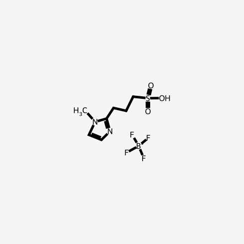 Cn1ccnc1CCCS(=O)(=O)O.F[B-](F)(F)F